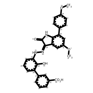 O=C1Nc2c(cc(OC(F)(F)F)cc2-c2ccc(OC(F)(F)F)cc2)C1=NNc1cccc(-c2cccc(C(=O)O)c2)c1O